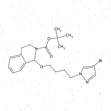 CC(C)(C)OC(=O)N1CCc2ccccc2C1OCCCCn1cc(Br)cn1